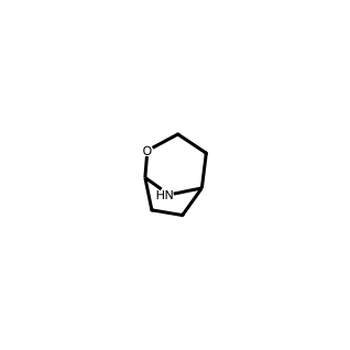 C1CC2CCC(N2)O1